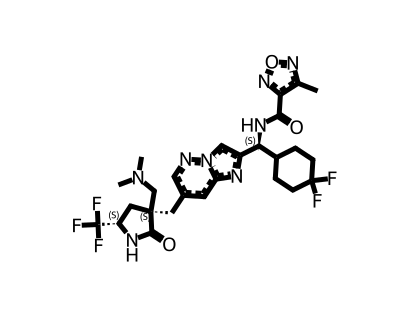 Cc1nonc1C(=O)N[C@H](c1cn2ncc(C[C@@]3(CN(C)C)C[C@@H](C(F)(F)F)NC3=O)cc2n1)C1CCC(F)(F)CC1